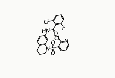 O=C(Nc1ccc2c(c1)N(S(=O)(=O)c1cccnc1Cl)CCC2)c1c(F)cccc1Cl